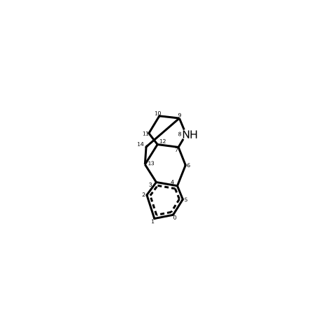 c1ccc2c(c1)CC1NC3CCC1C2C3